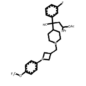 CCCC(CC(C#N)(c1cccc(F)c1)C1CCN(CC2CN(c3ccc(OC(F)(F)F)cc3)C2)CC1)OC(C)=O